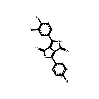 O=C1NC(c2ccc(Cl)c(Cl)c2)=C2C(=O)NC(c3ccc(Br)cc3)=C12